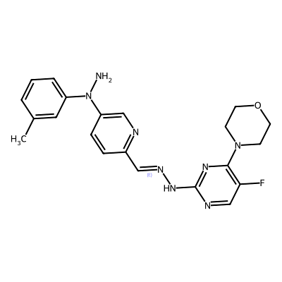 Cc1cccc(N(N)c2ccc(/C=N/Nc3ncc(F)c(N4CCOCC4)n3)nc2)c1